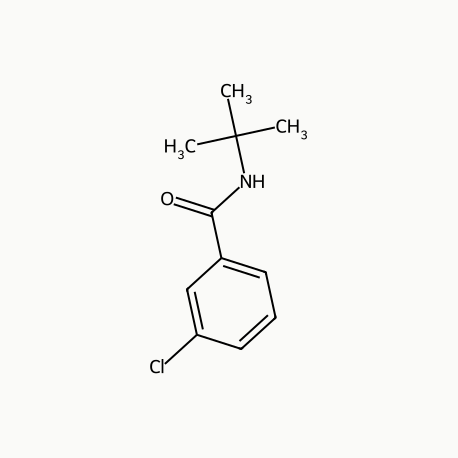 CC(C)(C)NC(=O)c1cccc(Cl)c1